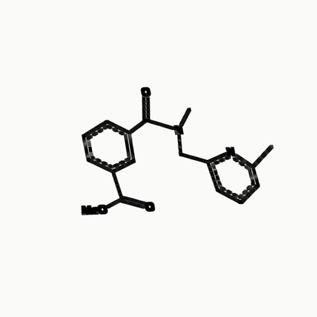 COC(=O)c1cccc(C(=O)N(C)Cc2cccc(C)n2)c1